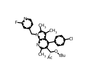 CC(=O)[C@@H](OC(C)(C)C)c1c(C)nc2c(c(C)c(C)n2Cc2ccnc(F)c2)c1-c1ccc(Cl)cc1